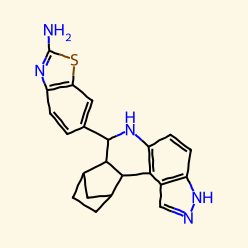 Nc1nc2ccc(C3Nc4ccc5[nH]ncc5c4C4C5CCC(C5)C34)cc2s1